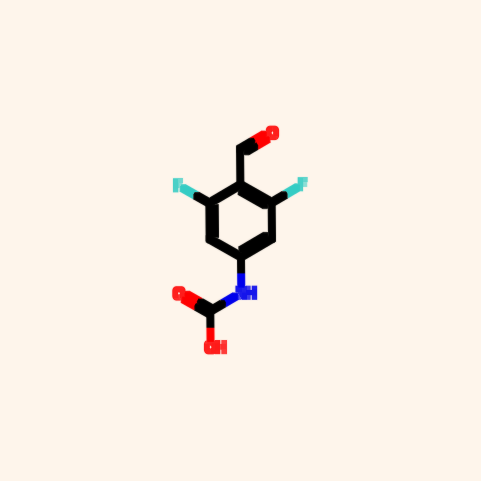 O=Cc1c(F)cc(NC(=O)O)cc1F